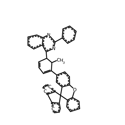 CC1C(c2ccc3c(c2)C2(c4ccccc4O3)c3ccccc3-c3ccccc32)=CC=CC1c1nc(-c2ccccc2)nc2ccccc12